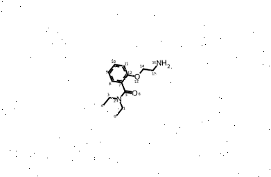 CCN(CC)C(=O)c1ccccc1OCCN